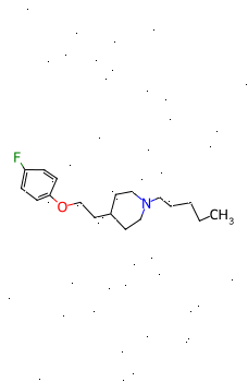 CCCCCN1CCC(CCOc2ccc(F)cc2)CC1